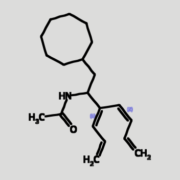 C=C/C=C\C(=C/C=C)C(CC1CCCCCCC1)NC(C)=O